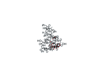 CC(C)C[C@H](NC(=O)CN)C(=O)N[C@@H](C)C(=O)N[C@@H](CC(C)C)C(=O)N[C@H](C(=O)N[C@@H](CC(N)=O)C(=O)NCC(=O)N[C@H](C(=O)N[C@@H](C)C(=O)N[C@H](C(=O)NCC(=O)N[C@@H](CO)C(=O)NCC(=O)N[C@@H](CC(C)C)C(=O)N[C@@H](C)C(=O)N[C@@H](CO)C(=O)N[C@H](C(=O)N[C@H](C(=O)N[C@@H](CC(C)C)C(=O)N[C@@H](Cc1ccccc1)C(=O)O)C(C)C)[C@@H](C)O)C(C)C)[C@@H](C)O)C(C)C